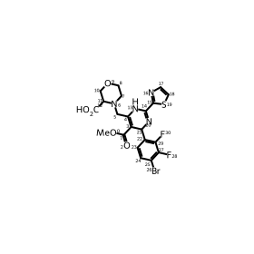 COC(=O)C1=C(CN2CCOCC2C(=O)O)NC(c2nccs2)=NC1c1ccc(Br)c(F)c1F